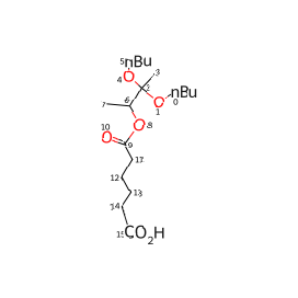 CCCCOC(C)(OCCCC)C(C)OC(=O)CCCCC(=O)O